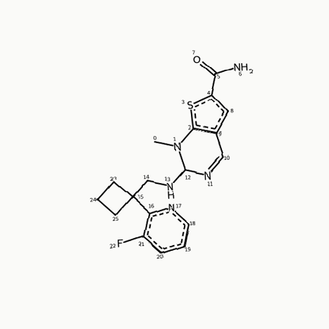 CN1c2sc(C(N)=O)cc2C=NC1NCC1(c2ncccc2F)CCC1